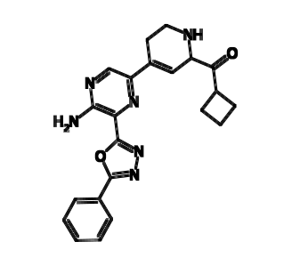 Nc1ncc(C2=CC(C(=O)C3CCC3)NCC2)nc1-c1nnc(-c2ccccc2)o1